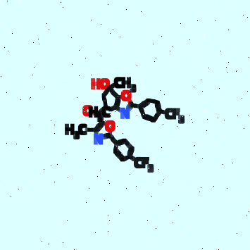 Cc1nc(-c2ccc(C(F)(F)F)cc2)oc1C(=O)CCC(C)(O)c1oc(-c2ccc(C(F)(F)F)cc2)nc1C